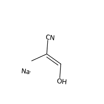 CC(C#N)=CO.[Na]